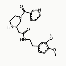 COc1ccc(CCNC(=O)CC2CN(C(=O)c3cccnc3)CCN2)cc1OC